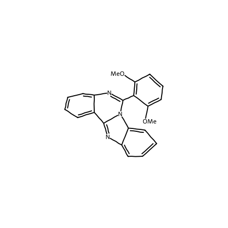 COc1cccc(OC)c1-c1nc2ccccc2c2nc3ccccc3n12